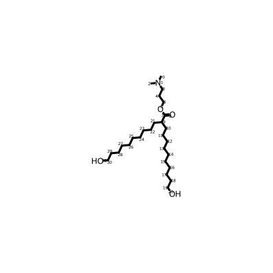 CN(C)CCCOC(=O)C(CCCCCCCCCCO)CCCCCCCCCCO